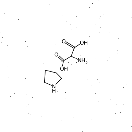 C1CCNC1.NC(C(=O)O)C(=O)O